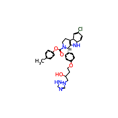 Cc1ccc(OC(=O)N2CCC3=C(NC4C=CC(Cl)=CC34)[C@@H]2c2ccc(OCCC(O)CN3C=NCN3)cc2)cc1